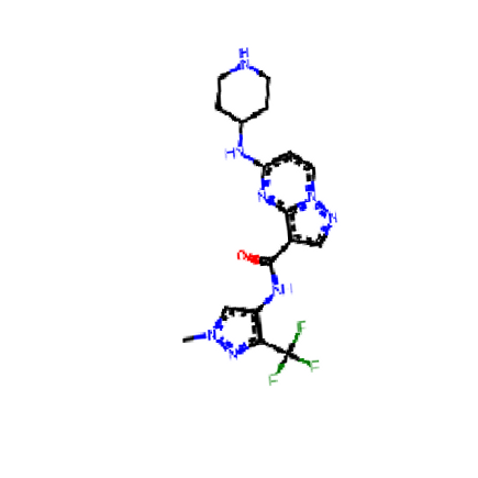 Cn1cc(NC(=O)c2cnn3ccc(NC4CCNCC4)nc23)c(C(F)(F)F)n1